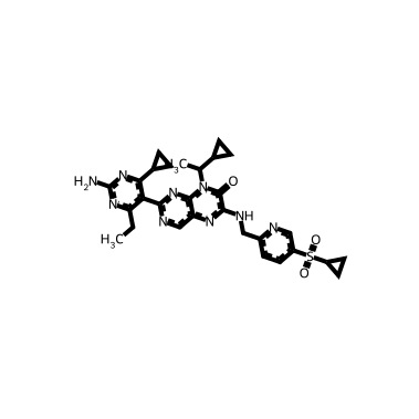 CCc1nc(N)nc(C2CC2)c1-c1ncc2nc(NCc3ccc(S(=O)(=O)C4CC4)cn3)c(=O)n(C(C)C3CC3)c2n1